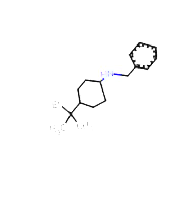 CCC(C)(C)C1CCC(NCc2ccccc2)CC1